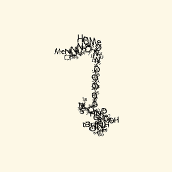 CNc1nc(Nc2ccc(C(=O)N3CCN(CCOCCOCCOCCOCCOc4cc(-c5scnc5C)ccc4CNC(=O)[C@H]4C[C@@H](O)CN4C(=O)[C@@H](NC(=O)C4(F)CC4)C(C)(C)C)CC3)cc2OC)ncc1Cl